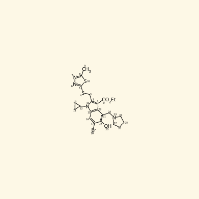 CCOC(=O)c1c(CSc2nnc(C)s2)n(C2CC2)c2cc(Br)c(O)c(CN3CCCC3)c12